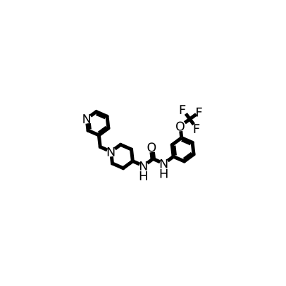 O=C(Nc1cccc(OC(F)(F)F)c1)NC1CCN(Cc2cccnc2)CC1